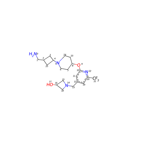 NCC1CC(N2CCC(Oc3cc(CN4CC(O)C4)cc(C(F)(F)F)n3)CC2)C1